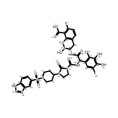 O=C(O)c1c(F)ccc2c1OB(O)[C@@H](NC(=O)[C@H](NC(=O)N1CCN(C3CCN(S(=O)(=O)c4ccc5[nH]nnc5c4)CC3)C1=O)c1cc(F)c(O)c(O)c1Cl)C2